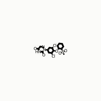 CS(=O)(=O)c1ccccc1Oc1c(Cl)cc(-n2ncc(=O)[nH]c2=O)cc1Cl